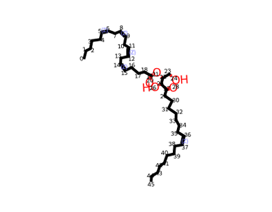 CCCCC/C=C\C/C=C\C/C=C\C/C=C\CCCC(=O)OC(CO)C(O)C(=O)CCCCCCC/C=C\CCCCCCCC